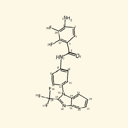 Nc1ccc(C(=O)Nc2ccc(-n3c(C(F)(F)F)nc4ccccc43)cc2)c(F)c1F